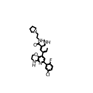 C/C=C(\C=C(/C=N)C(=O)NCCN1CCCC1)c1cc(-c2cc(Cl)ccc2F)nc2c1OCCN2